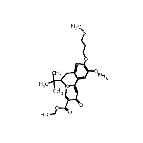 CCOC(=O)c1cn2c(cc1=O)-c1cc(OC)c(OCCCSC)cc1CC2C(C)(C)C